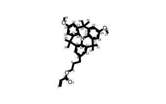 C=CC(=O)OCCCc1cc2c3c(c1)C(C)(C)c1cc(OC)cc4c1N3c1c(cc(OC)cc1C4(C)C)C2(C)C